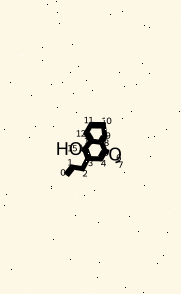 C=CCc1cc(OC)c2ccccc2c1O